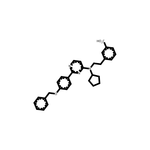 O=C(O)c1cccc(CCN(c2ccnc(-c3ccc(OCc4ccccc4)cc3)n2)C2CCCC2)c1